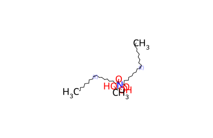 CCCCCCCC/C=C\CCCCCCCC(=O)N(C(=O)CCCCCCC/C=C\CCCCCCCC)C(O)C(C)O